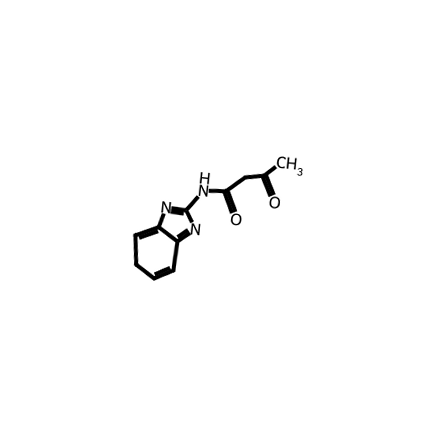 CC(=O)CC(=O)NC1=NC2=CCC=CC2=N1